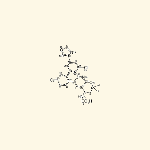 CC1(C)CC(NC(=O)O)c2cc(-c3ccc(Cl)cc3)c(-c3ccc(-c4ncon4)cc3Cl)nc2O1